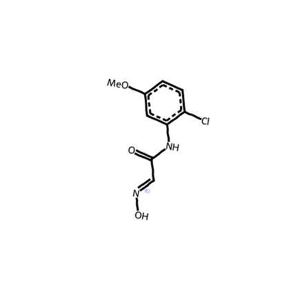 COc1ccc(Cl)c(NC(=O)/C=N/O)c1